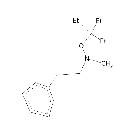 CCC(CC)(CC)ON(C)CCc1ccccc1